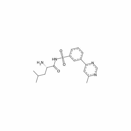 Cc1cc(-c2cccc(S(=O)(=O)NC(=O)[C@@H](N)CC(C)C)c2)ncn1